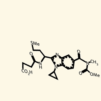 COC(=O)N(C)C(=O)c1ccc2c(c1)nc(C(CCSC)NC(=O)CCC(=O)O)n2C1CC1